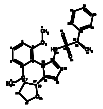 COc1cccc(OC)c1-n1c(NS(=O)(=O)[C@H](C)c2ccccc2)nnc1[C@H]1CCCO1